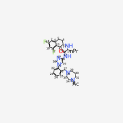 CCCC(N[C@H]1CCc2cc(F)cc(F)c2C1)C(=O)Nc1cn(-c2ccccc2CN2CCCN(C(C)=O)CC2)cn1